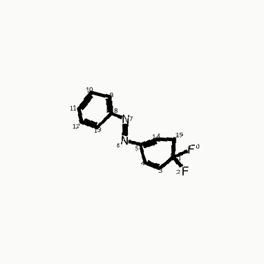 FC1(F)C=CC(N=Nc2ccccc2)=CC1